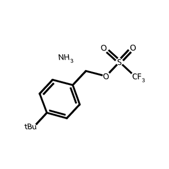 CC(C)(C)c1ccc(COS(=O)(=O)C(F)(F)F)cc1.N